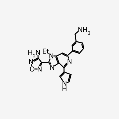 CCn1c(-c2nonc2N)nc2c(-c3cc[nH]c3)nc(-c3cccc(CN)c3)cc21